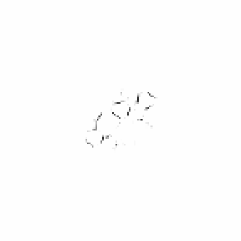 CNC(=O)c1ccccc1-c1cc2c(cc1F)/C=C\c1ccccc1N(C(C)=O)C2